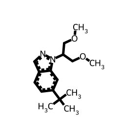 COCC(COC)n1ncc2ccc(C(C)(C)C)cc21